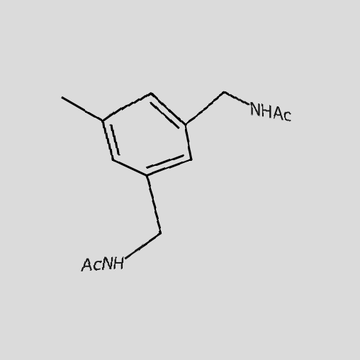 CC(=O)NCc1cc(C)cc(CNC(C)=O)c1